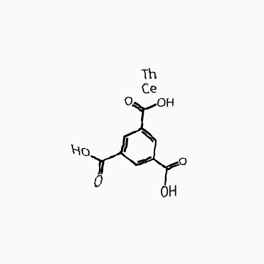 O=C(O)c1cc(C(=O)O)cc(C(=O)O)c1.[Ce].[Th]